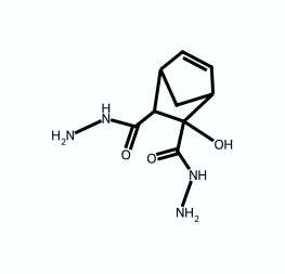 NNC(=O)C1C2C=CC(C2)C1(O)C(=O)NN